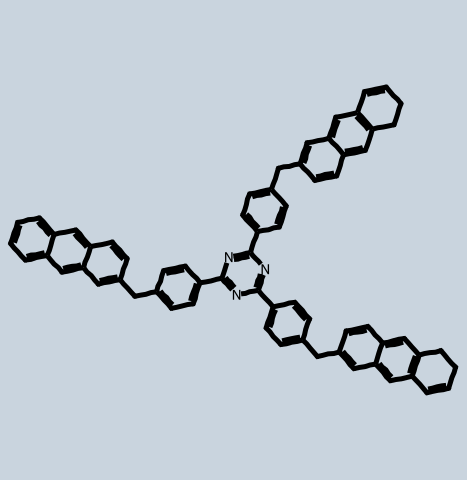 C1=Cc2cc3cc(Cc4ccc(-c5nc(-c6ccc(Cc7ccc8cc9c(cc8c7)C=CCC9)cc6)nc(-c6ccc(Cc7ccc8cc9ccccc9cc8c7)cc6)n5)cc4)ccc3cc2CC1